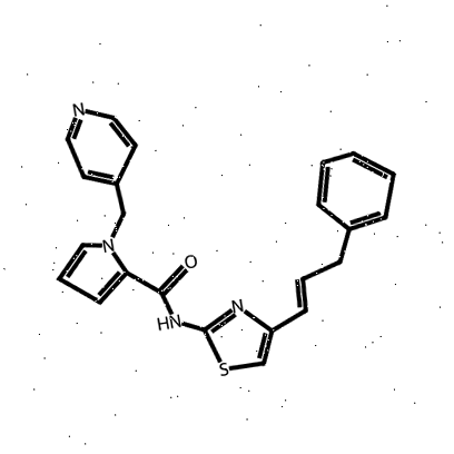 O=C(Nc1nc(C=CCc2ccccc2)cs1)c1cccn1Cc1ccncc1